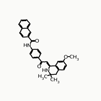 COc1ccc2c(c1)C(=CC(=O)c1ccc(NC(=O)c3ccc4ccccc4c3)cc1)NC(C)(C)C2